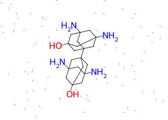 NC12CC3(N)CC(O)(C1)CC(C14CC5(N)CC(N)(CC(O)(C5)C1)C4)(C2)C3